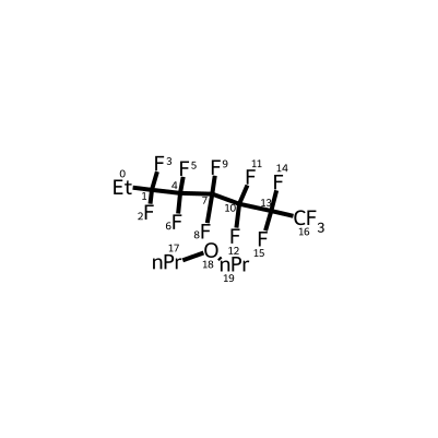 CCC(F)(F)C(F)(F)C(F)(F)C(F)(F)C(F)(F)C(F)(F)F.CCCOCCC